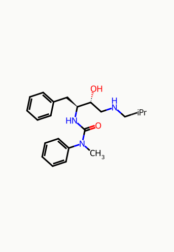 CC(C)CNC[C@@H](O)[C@H](Cc1ccccc1)NC(=O)N(C)c1ccccc1